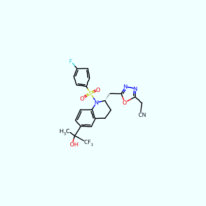 CC(O)(c1ccc2c(c1)CC[C@@H](Cc1nnc(CC#N)o1)N2S(=O)(=O)c1ccc(F)cc1)C(F)(F)F